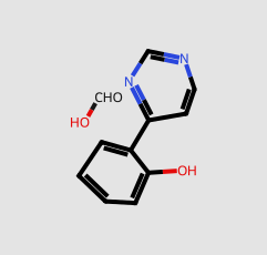 O=CO.Oc1ccccc1-c1ccncn1